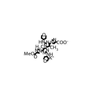 COC(=O)c1cn(-c2nc(NC3CCOCC3)ncc2C)cn1.Cc1cnc(NC2CCOCC2)nc1-n1cnc(C(=O)[O-])c1.[K+]